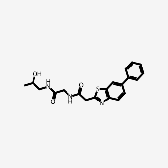 CC(O)CNC(=O)CNC(=O)Cc1nc2ccc(-c3ccccc3)cc2s1